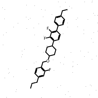 CCCc1ccc(COC2CCC(c3ccc(-c4ccc(CC)cc4)c(F)c3F)CC2)c(F)c1